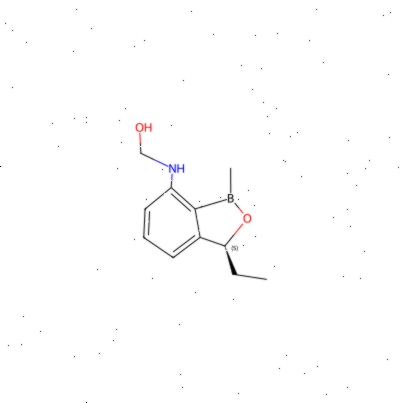 CC[C@@H]1OB(C)c2c(NCO)cccc21